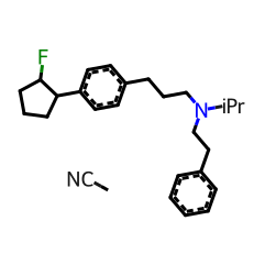 CC#N.CC(C)N(CCCc1ccc(C2CCCC2F)cc1)CCc1ccccc1